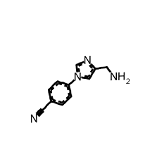 N#Cc1ccc(-n2cnc(CN)c2)cc1